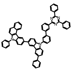 c1ccc(-c2ccc3c(c2)c2cc(-c4ccc5c(c4)c4c6ccccc6ccc4n5-c4ccccc4)ccc2n3-c2cccc(-c3cccc(-c4nc(-c5ccccc5)nc(-c5ccccc5)n4)c3)c2)cc1